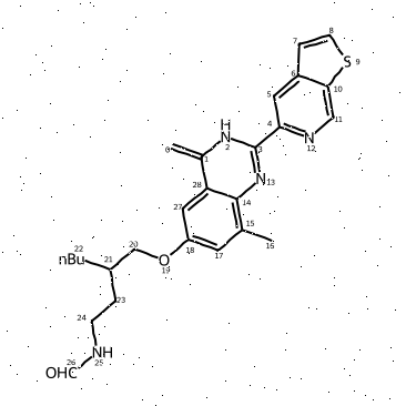 C=C1NC(c2cc3ccsc3cn2)=Nc2c(C)cc(OCC(CCCC)CCNC=O)cc21